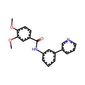 COc1ccc(C(=O)Nc2cccc(-c3cccnc3)c2)cc1OC